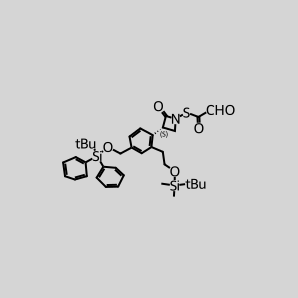 CC(C)(C)[Si](C)(C)OCCc1cc(CO[Si](c2ccccc2)(c2ccccc2)C(C)(C)C)ccc1[C@H]1CN(SC(=O)C=O)C1=O